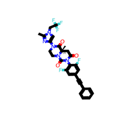 Cc1nc(N2CCN3C(=O)N(c4c(F)cc(C#Cc5ccccc5)cc4F)C(=O)C[C@@]3(C)C2=O)cn1CC(F)(F)F